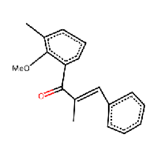 COc1c(C)cccc1C(=O)C(C)=Cc1ccccc1